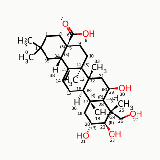 CC1(C)CC[C@]2(C(=O)O)CC[C@]3(C)C(=CC[C@@H]4[C@@]5(C)C[C@@H](O)[C@H](O)[C@@](C)(CO)[C@@H]5[C@H](O)C[C@]43C)[C@@H]2C1